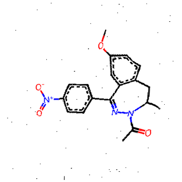 COc1ccc2c(c1)C(c1ccc([N+](=O)[O-])cc1)=NN(C(C)=O)C(C)C2